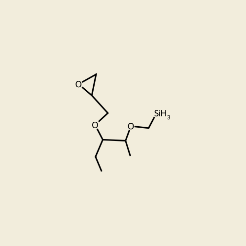 CCC(OCC1CO1)C(C)OC[SiH3]